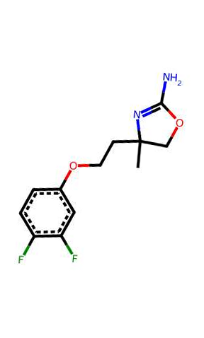 CC1(CCOc2ccc(F)c(F)c2)COC(N)=N1